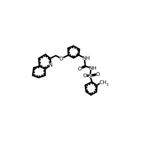 Cc1ccccc1S(=O)(=O)NC(=O)Nc1cccc(OCc2ccc3ccccc3n2)c1